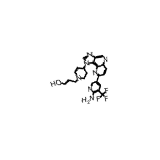 Nc1ncc(-c2ccc3ncc4ncn(C5CCN(CCCO)CC5)c4c3n2)cc1C(F)(F)F